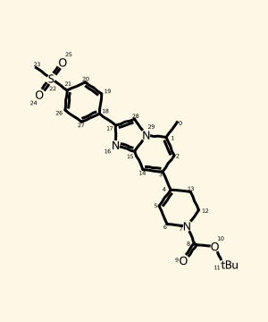 Cc1cc(C2=CCN(C(=O)OC(C)(C)C)CC2)cc2nc(-c3ccc(S(C)(=O)=O)cc3)cn12